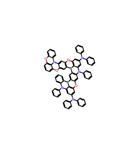 c1ccc(N(c2ccccc2)c2cc3c4c(c2)N(c2ccccc2)c2ccccc2B4c2cc4c(cc2O3)N(c2ccccc2)c2cc(N(c3ccccc3)c3ccccc3)cc3c2B4c2cc4c(cc2O3)N2c3ccccc3Oc3cccc(c32)O4)cc1